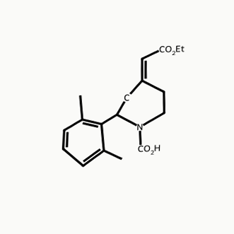 CCOC(=O)C=C1CCN(C(=O)O)C(c2c(C)cccc2C)C1